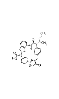 CCCC(C)C(C(=O)Nc1cccc2c1CC(OC(=O)O)C2)c1ccc(CN2N=C(c3ccccc3)OCC2=O)cc1